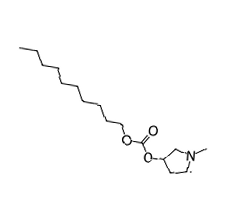 CCCCCCCCCCOC(=O)OC1C[CH]N(C)C1